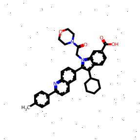 Cc1ccc(-c2ccc3cc(-c4c(C5CCCCC5)c5ccc(C(=O)O)cc5n4CC(=O)N4CCOCC4)ccc3n2)cc1